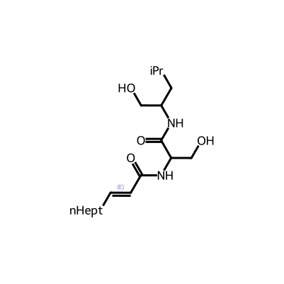 CCCCCCC/C=C/C(=O)NC(CO)C(=O)NC(CO)CC(C)C